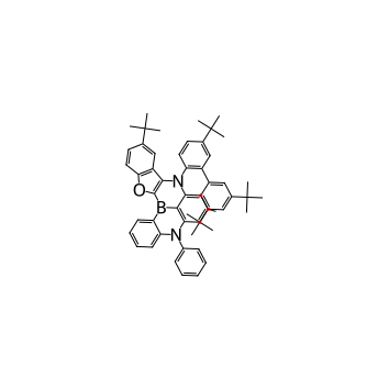 Cc1cc2c3c(c1)N(c1ccc(C(C)(C)C)cc1-c1cc(C(C)(C)C)cc(C(C)(C)C)c1)c1c(oc4ccc(C(C)(C)C)cc14)B3c1ccccc1N2c1ccccc1